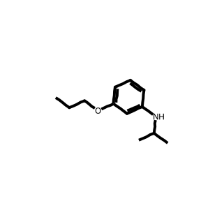 CCCOc1cccc(NC(C)C)c1